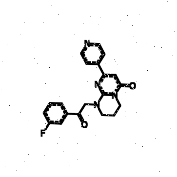 O=C(CN1CCCn2c1nc(-c1ccncc1)cc2=O)c1cccc(F)c1